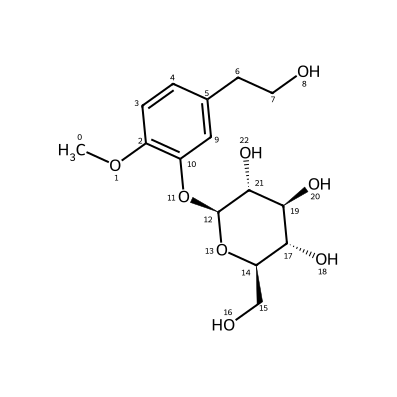 COc1ccc(CCO)cc1O[C@@H]1O[C@H](CO)[C@@H](O)[C@H](O)[C@H]1O